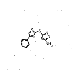 Nc1nnc(Sc2nc(-c3ccccc3)cs2)s1